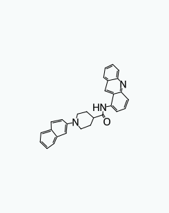 O=C(Nc1cccc2nc3ccccc3cc12)C1CCN(c2ccc3ccccc3c2)CC1